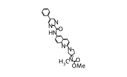 COC(=O)N(C)[C@@H]1CCN(c2ccc3cc(NC(=O)c4ncc(-c5ccccc5)cn4)ccc3n2)C1